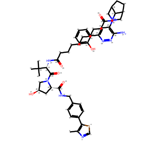 Cc1ncsc1-c1ccc(CNC(=O)[C@@H]2C[C@@H](O)CN2C(=O)[C@@H](NC(=O)CCCCCCCCC(=O)NC2C3CCC2CN(c2cc(-c4ccccc4O)nnc2N)C3)C(C)(C)C)cc1